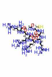 CC(=O)N[C@H](CS)C(=O)N[C@H](C)C(=O)N[C@H](CCCNC(=N)N)C(=O)N[C@H](CCCNC(=N)N)C(=O)N[C@H](CCCNC(=N)N)C(=O)N[C@H](C)C(=O)N[C@H](CCCNC(=N)N)C(N)=O